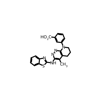 Cc1c(Nc2nc3ccccc3s2)nnc2c1CCCN2c1cccc(C(=O)O)c1